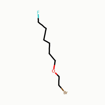 FCCCCCCOCCBr